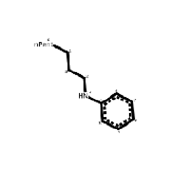 [CH2]CCCCCCCNc1ccccc1